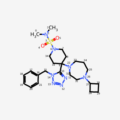 CN(C)S(=O)(=O)N1CCC(c2nnnn2Cc2ccccc2)(N2CCCN(C3CCC3)CC2)CC1